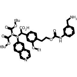 CCOc1cc(C(C(=O)O)N(c2ccc3cnccc3c2)N(C(=O)OC(C)(C)C)C(=O)OC(C)(C)C)ccc1CCOC(=O)Nc1cccc(CN)c1